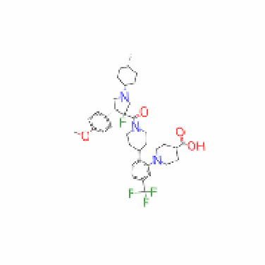 COc1ccc([C@@H]2CN([C@H]3CC[C@@H](C)CC3)C[C@@]2(F)C(=O)N2CCC(c3ccc(C(F)(F)F)cc3N3CCC(C(=O)O)CC3)CC2)cc1